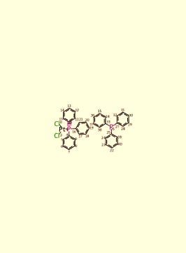 [Cl][Pt]([Cl])[PH](c1ccccc1)(c1ccccc1)c1ccccc1.c1ccc(P(c2ccccc2)c2ccccc2)cc1